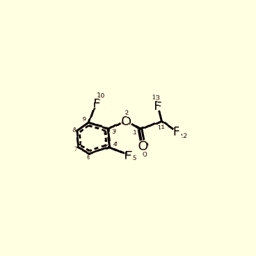 O=C(Oc1c(F)cccc1F)C(F)F